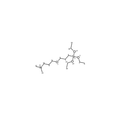 CCO[Si](CCCOCCCN(C)C)(OCC)OCC